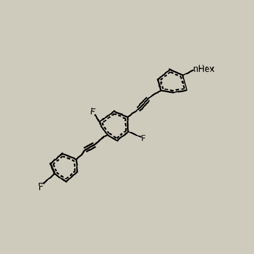 CCCCCCc1ccc(C#Cc2cc(F)c(C#Cc3ccc(F)cc3)cc2F)cc1